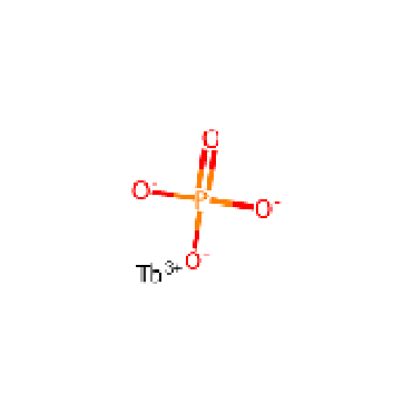 O=P([O-])([O-])[O-].[Tb+3]